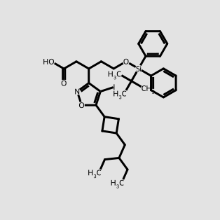 CCC(CC)CC1CC(c2onc(C(CCO[Si](c3ccccc3)(c3ccccc3)C(C)(C)C)CC(=O)O)c2I)C1